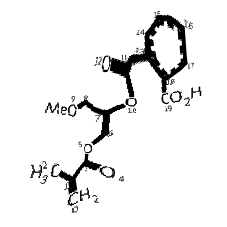 C=C(C)C(=O)OCC(COC)OC(=O)c1ccccc1C(=O)O